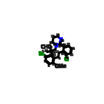 COc1ccc(Br)cc1CCc1c(Cl)cccc1C1=NCCCN1CC(C)(C)C=O